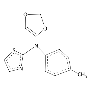 Cc1ccc(N(C2=COCO2)c2nccs2)cc1